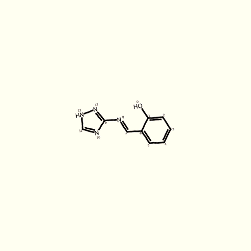 Oc1ccccc1/C=N/c1nc[nH]n1